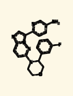 Nc1ccc(-c2cnc3ccc(N4CCOCC4c4cccc(F)c4)nn23)nc1